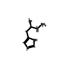 CC(=O)[C@H](Cc1cnc[nH]1)NN